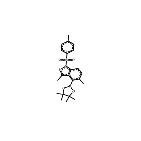 Cc1ccc(S(=O)(=O)n2nc(C)c3c(B4OC(C)(C)C(C)(C)O4)c(C)ccc32)cc1